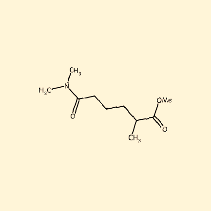 COC(=O)C(C)CCCC(=O)N(C)C